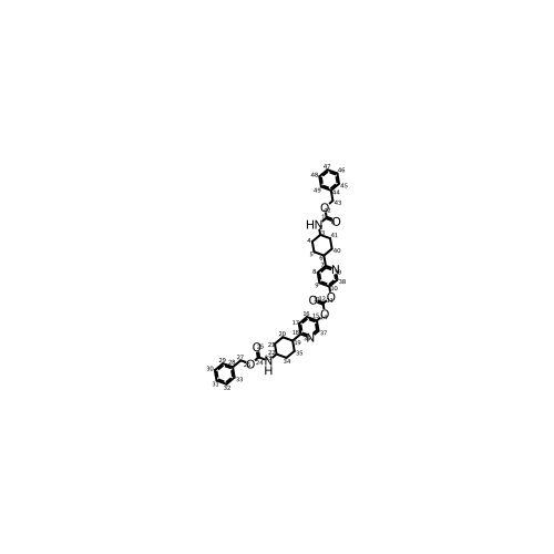 O=C(NC1CCC(c2ccc(OC(=O)Oc3ccc(C4CCC(NC(=O)OCc5ccccc5)CC4)nc3)cn2)CC1)OCc1ccccc1